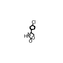 O=C1NN=C(c2ccc(Cl)cc2)CO1